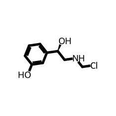 Oc1cccc([C@@H](O)CNCCl)c1